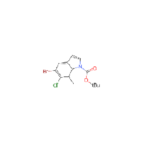 CC1C(Cl)=C(Br)C=C2C=CN(C(=O)OC(C)(C)C)C21